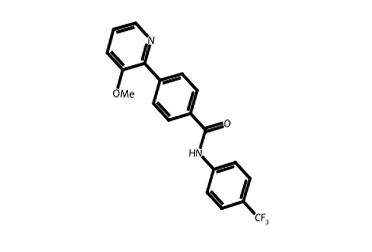 COc1cccnc1-c1ccc(C(=O)Nc2ccc(C(F)(F)F)cc2)cc1